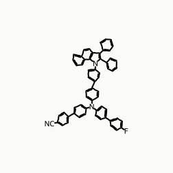 N#Cc1ccc(-c2ccc(N(c3ccc(-c4ccc(F)cc4)cc3)c3ccc(-c4ccc(-n5c(-c6ccccc6)c(-c6ccccc6)c6ccc7ccccc7c65)cc4)cc3)cc2)cc1